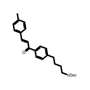 CCCCCCCCCCCCCCc1ccc(C(=O)C=Cc2ccc(C)cc2)cc1